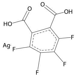 O=C(O)c1c(F)c(F)c(F)c(F)c1C(=O)O.[Ag]